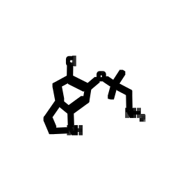 CC(C)(CN)Oc1cc2[nH]ccc2cc1Cl